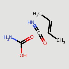 CC=CC.N=C=O.NC(=O)O